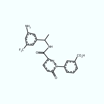 CC(NC(=O)c1ccc(=O)n(-c2cccc(C(=O)O)c2)n1)c1cc(N)cc(C(F)(F)F)c1